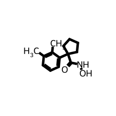 Cc1cccc(C2(C(=O)NO)CCCC2)c1C